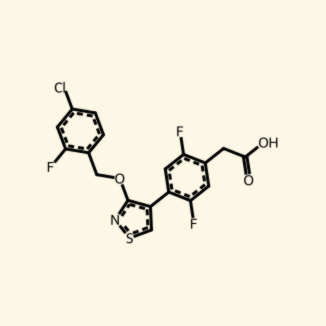 O=C(O)Cc1cc(F)c(-c2csnc2OCc2ccc(Cl)cc2F)cc1F